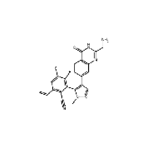 C=Cc1cc(Cl)c(F)c(-c2c(-c3ccc4c(=O)[nH]c(CN)nc4c3)cnn2C)c1C#N